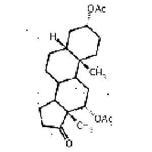 CC(=O)O[C@@H]1CC[C@]2(C)C3C[C@H](OC(C)=O)[C@]4(C)C(=O)CCC4C3CC[C@@H]2C1